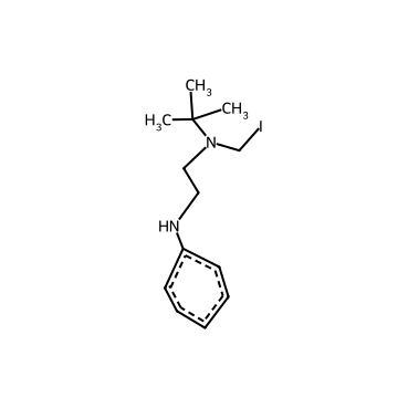 CC(C)(C)N(CI)CCNc1ccccc1